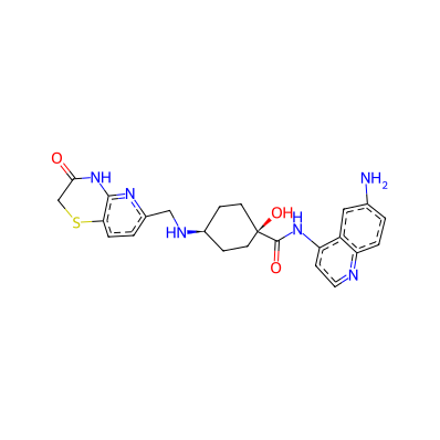 Nc1ccc2nccc(NC(=O)[C@]3(O)CC[C@@H](NCc4ccc5c(n4)NC(=O)CS5)CC3)c2c1